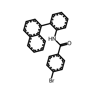 O=C(Nc1ccccc1-c1cccc2ccccc12)c1ccc(Br)cc1